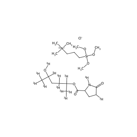 CO[Si](CCC[15N+](C)(C)C)(OC)OC.[2H]OC([2H])(CC([2H])([2H])C([2H])(OC(=O)C1CC([2H])C(=O)N1[2H])C([2H])([2H])[2H])C([2H])([2H])[2H].[Cl-]